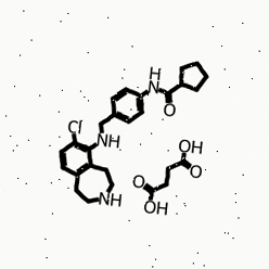 O=C(Nc1ccc(CNc2c(Cl)ccc3c2CCNCC3)cc1)C1CCCC1.O=C(O)CCC(=O)O